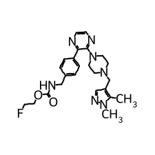 Cc1c(CN2CCN(c3nccnc3-c3ccc(CNC(=O)OCCF)cc3)CC2)cnn1C